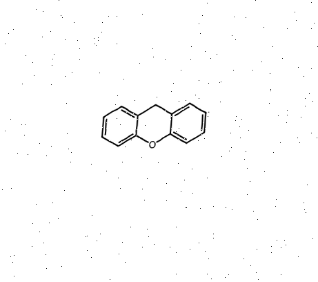 [c]1ccc2c(c1)Cc1ccccc1O2